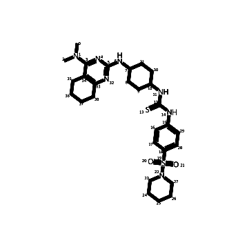 CN(C)c1nc(NC2CCC(NC(=S)Nc3ccc(S(=O)(=O)N4CCCCC4)cc3)CC2)nc2c1CCCC2